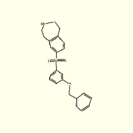 O=S(=O)(c1cccc(OCc2ccccc2)c1)c1ccc2c(c1)CCNCC2